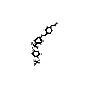 CCCC1CCC(CCc2ccc(C(F)(F)Oc3ccc(OC(F)(F)F)cc3)cc2)CC1